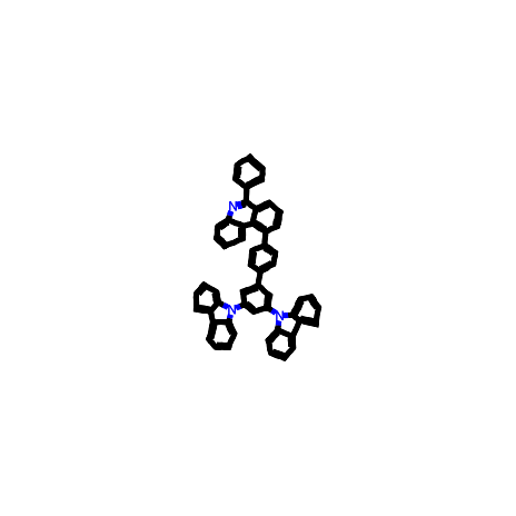 c1ccc(-c2nc3ccccc3c3c(-c4ccc(-c5cc(-n6c7ccccc7c7ccccc76)cc(-n6c7ccccc7c7ccccc76)c5)cc4)cccc23)cc1